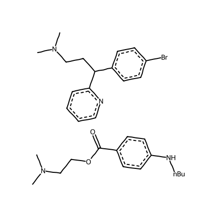 CCCCNc1ccc(C(=O)OCCN(C)C)cc1.CN(C)CCC(c1ccc(Br)cc1)c1ccccn1